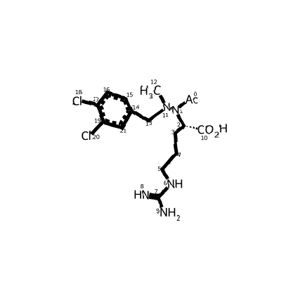 CC(=O)N([C@@H](CCCNC(=N)N)C(=O)O)N(C)Cc1ccc(Cl)c(Cl)c1